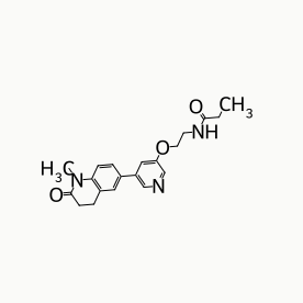 CCC(=O)NCCOc1cncc(-c2ccc3c(c2)CCC(=O)N3C)c1